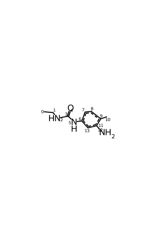 CCNC(=O)Nc1ccc(C)c(N)c1